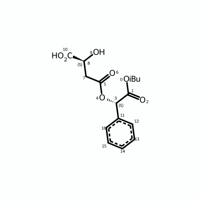 CC(C)COC(=O)[C@@H](OC(=O)C[C@H](O)C(=O)O)c1ccccc1